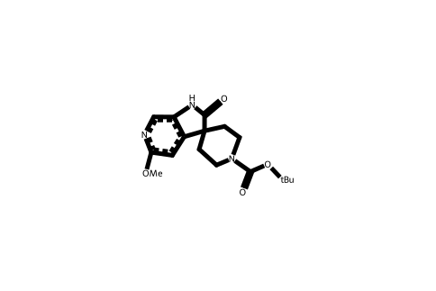 COc1cc2c(cn1)NC(=O)C21CCN(C(=O)OC(C)(C)C)CC1